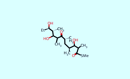 CC[C@@H](O)[C@H](C)C(O)C(C)C(=O)[C@H](C)C[C@H](C)C(O)C(C)C(=O)SC